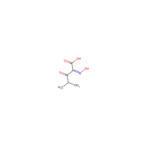 CC(C)C(=O)C(=NO)C(=O)O